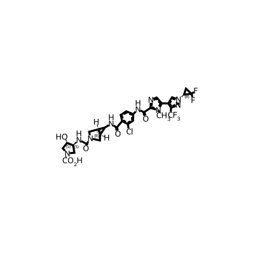 Cn1c(-c2cn([C@@H]3CC3(F)F)nc2C(F)(F)F)cnc1C(=O)Nc1ccc(C(=O)NC2[C@H]3CN(C(=O)N[C@H]4CN(C(=O)O)C[C@@H]4O)C[C@@H]23)c(Cl)c1